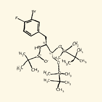 CC(C)(C)[S+]([O-])N[C@@H](Cc1ccc(F)c(Br)c1)[C@@H](CO[Si](C)(C)C(C)(C)C)O[Si](C)(C)C(C)(C)C